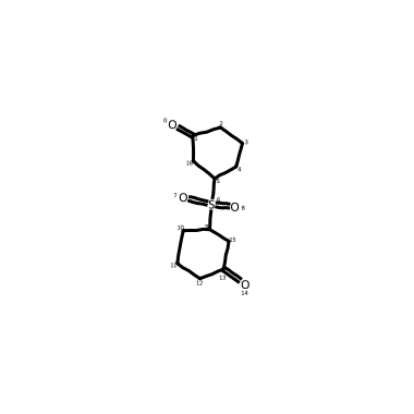 O=C1CCCC(S(=O)(=O)C2CCCC(=O)C2)C1